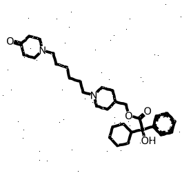 O=C1CCN(CCCCCCN2CCC(COC(=O)C(O)(c3ccccc3)C3CCCCC3)CC2)CC1